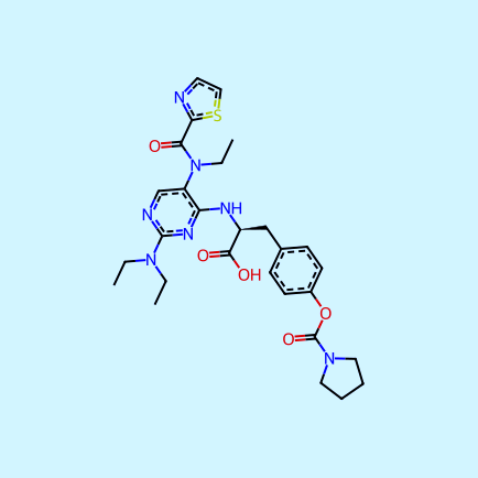 CCN(CC)c1ncc(N(CC)C(=O)c2nccs2)c(N[C@@H](Cc2ccc(OC(=O)N3CCCC3)cc2)C(=O)O)n1